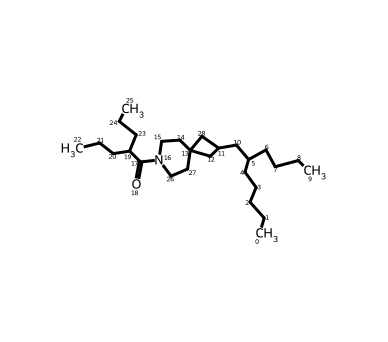 CCCCCC(CCCC)CC1CC2(CCN(C(=O)C(CCC)CCC)CC2)C1